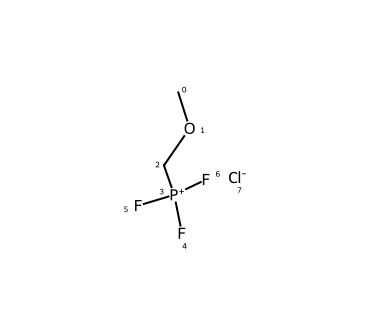 COC[P+](F)(F)F.[Cl-]